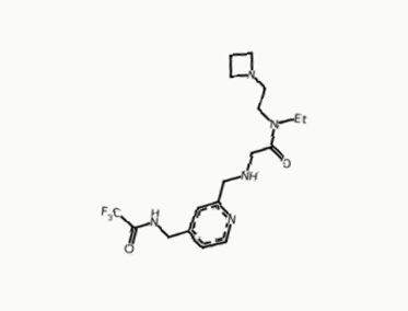 CCN(CCN1CCC1)C(=O)CNCc1cc(CNC(=O)C(F)(F)F)ccn1